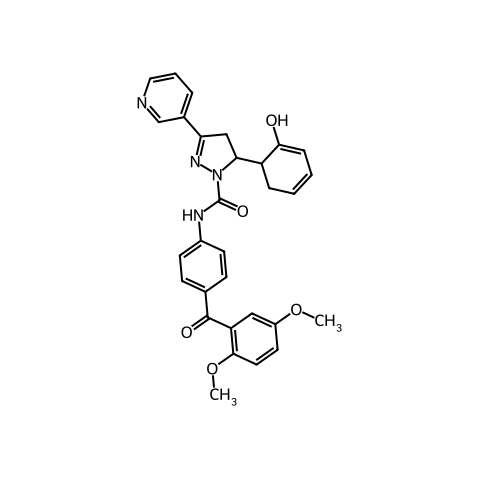 COc1ccc(OC)c(C(=O)c2ccc(NC(=O)N3N=C(c4cccnc4)CC3C3CC=CC=C3O)cc2)c1